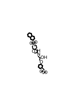 CS(=O)(=O)Cc1cccc(OC[C@H](O)CNC2COC3(CCN(S(=O)(=O)c4ccc5ccccc5c4)CC3)C2)c1